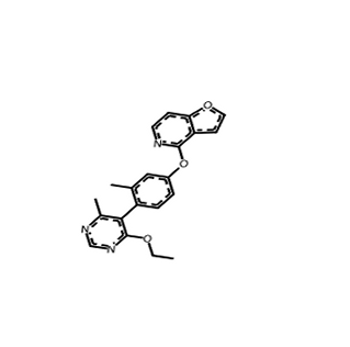 CCOc1ncnc(C)c1-c1ccc(Oc2nccc3occc23)cc1C